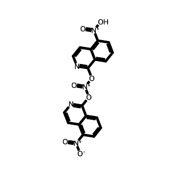 O=[N+](Oc1nccc2c([N+](=O)[O-])cccc12)Oc1nccc2c([N+](=O)O)cccc12